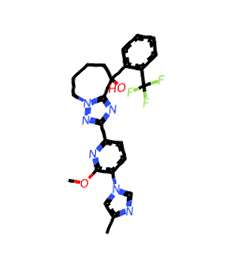 COc1nc(-c2nc3n(n2)CCCCC3(O)c2ccccc2C(F)(F)F)ccc1-n1cnc(C)c1